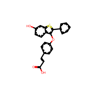 O=C(O)C=Cc1ccc(Oc2c(-c3ccccc3)sc3cc(O)ccc23)cc1